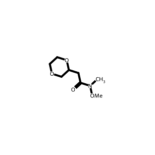 CON(C)C(=O)CC1COCCO1